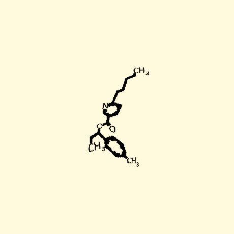 CCCCCc1ccc(C(=O)OC(CC)c2ccc(C)cc2)cn1